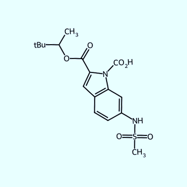 CC(OC(=O)c1cc2ccc(NS(C)(=O)=O)cc2n1C(=O)O)C(C)(C)C